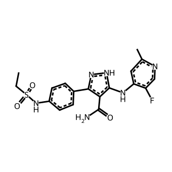 CCS(=O)(=O)Nc1ccc(-c2n[nH]c(Nc3cc(C)ncc3F)c2C(N)=O)cc1